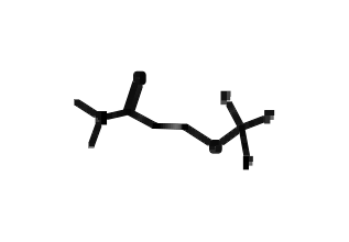 CN(C)C(=O)CCOC(F)(F)F